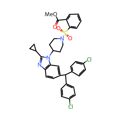 COC(=O)c1ccccc1S(=O)(=O)N1CCC(n2c(C3CC3)nc3ccc(C(c4ccc(Cl)cc4)c4ccc(Cl)cc4)cc32)CC1